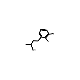 CC(O)C[CH]c1cccc(F)c1F